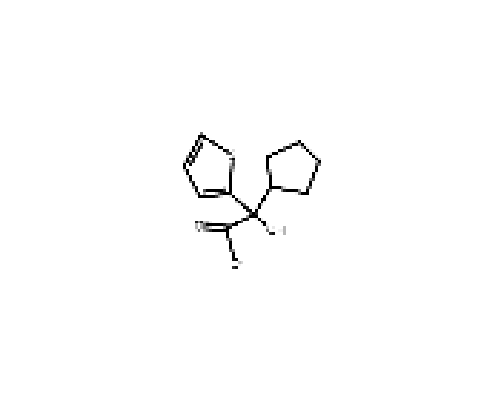 [O]C(=O)C(O)(c1cccs1)C1CCCC1